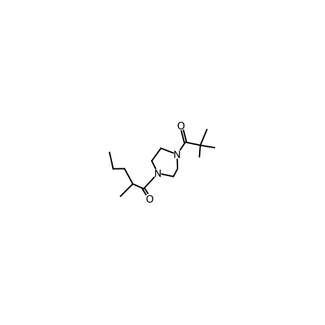 CCCC(C)C(=O)N1CCN(C(=O)C(C)(C)C)CC1